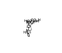 CC1CC(=O)NN=C1c1ccc(/C(=N/N)c2ccc(O)c(C(=O)O)c2O)cc1